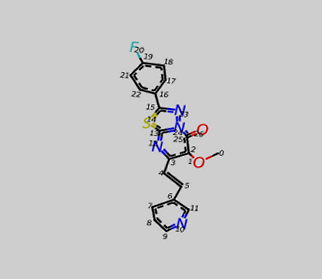 COc1c(/C=C/c2cccnc2)nc2sc(-c3ccc(F)cc3)nn2c1=O